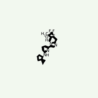 C[C@](O)(c1ccc2ncc(-c3cccc(N[C@H]4CCCC45CC5)n3)n2c1)C(F)(F)F